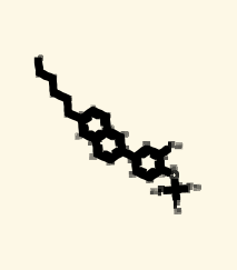 CCCCCCc1ccc2cc(-c3ccc(OC(F)(F)F)c(F)c3)ccc2c1